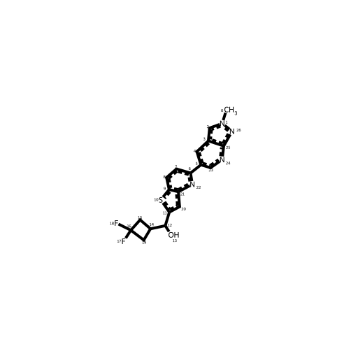 Cn1cc2cc(-c3ccc4sc(C(O)C5CC(F)(F)C5)cc4n3)cnc2n1